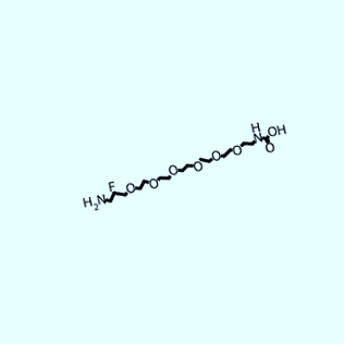 NCC(F)COCCOCCOCCOCCOCCOCCNC(=O)O